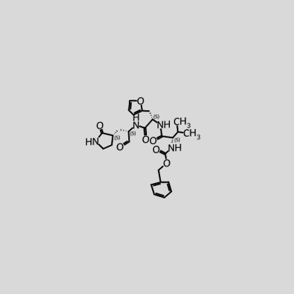 CC(C)[C@H](NC(=O)OCc1ccccc1)C(=O)N[C@@H](Cc1ccco1)C(=O)N[C@H](C=O)C[C@@H]1CCNC1=O